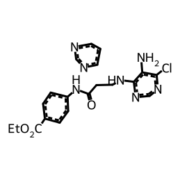 CCOC(=O)c1ccc(NC(=O)CCNc2ncnc(Cl)c2N)cc1.c1cncnc1